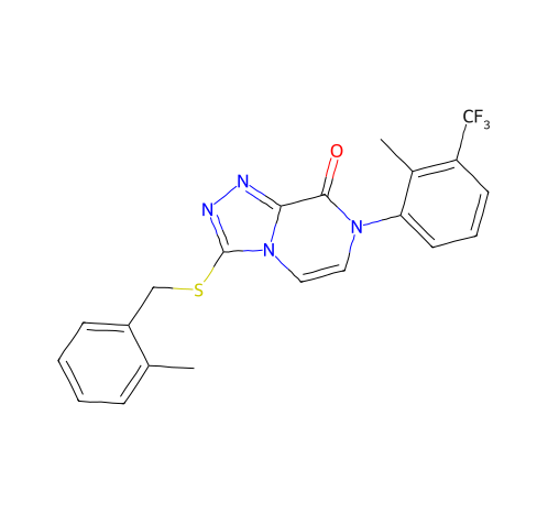 Cc1ccccc1CSc1nnc2c(=O)n(-c3cccc(C(F)(F)F)c3C)ccn12